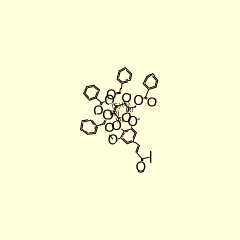 COc1cc(C=CC(=O)I)cc(OC)c1O[C@@H]1O[C@H](COC(=O)c2ccccc2)[C@H](OC(=O)c2ccccc2)[C@H](OC(=O)c2ccccc2)[C@H]1OC(=O)c1ccccc1